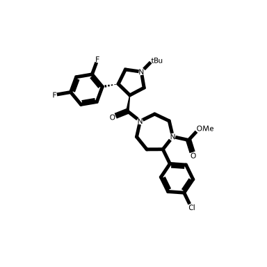 COC(=O)N1CCN(C(=O)[C@@H]2CN(C(C)(C)C)C[C@H]2c2ccc(F)cc2F)CCC1c1ccc(Cl)cc1